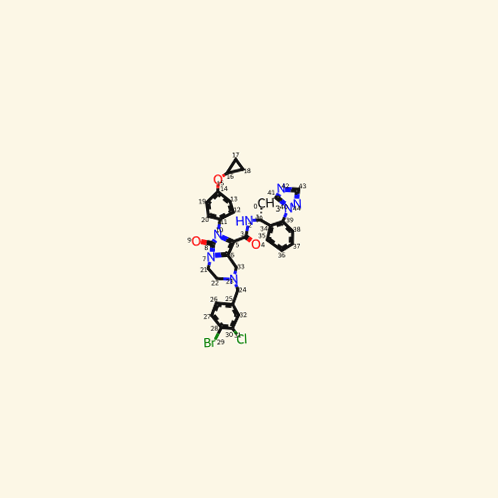 C[C@@H](NC(=O)c1c2n(c(=O)n1-c1ccc(OC3CC3)cc1)CCN(Cc1ccc(Br)c(Cl)c1)C2)c1ccccc1-n1cncn1